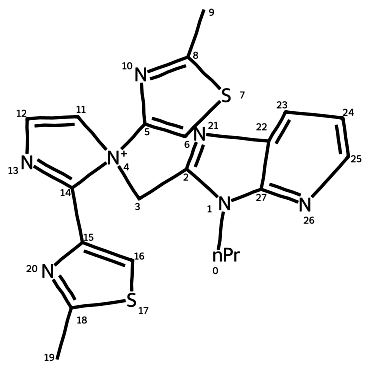 CCCn1c(C[N+]2(c3csc(C)n3)C=CN=C2c2csc(C)n2)nc2cccnc21